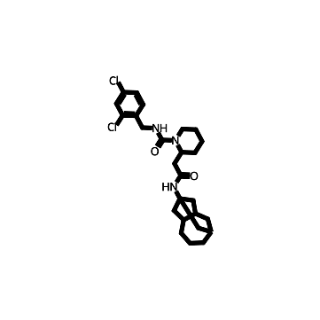 O=C(CC1CCCCN1C(=O)NCc1ccc(Cl)cc1Cl)NC12CC3CCCC(C1)C(C3)C2